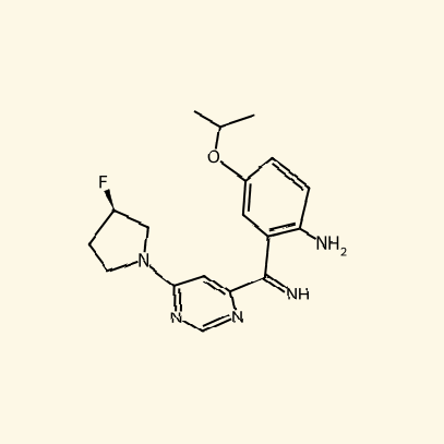 CC(C)Oc1ccc(N)c(C(=N)c2cc(N3CC[C@@H](F)C3)ncn2)c1